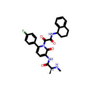 CN[C@@H](C)C(=O)Nc1ccc(-c2ccc(F)cc2)n(C(=O)C(=O)NC2CCCc3ccccc32)c1=O